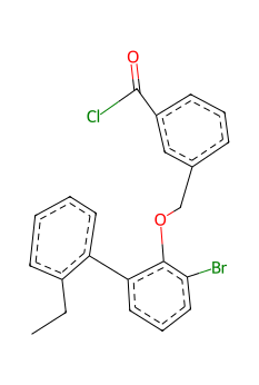 CCc1ccccc1-c1cccc(Br)c1OCc1cccc(C(=O)Cl)c1